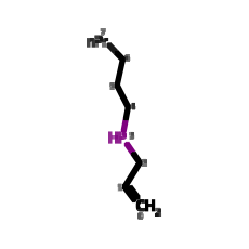 C=CCPCCCCCC